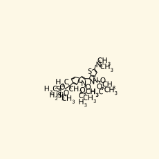 C[SiH2]OC(O[SiH2]C)C(C)(C)c1ccc2cc(-c3nn(C(=O)OC(C)(C)C)c4cc(CN(C)C)sc34)n(C(=O)OC(C)(C)C)c2c1